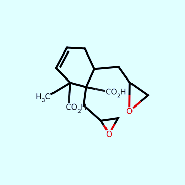 CC1(C(=O)O)C=CCC(CC2CO2)C1(CC1CO1)C(=O)O